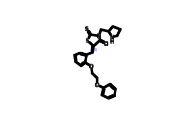 O=C1/C(=C/c2ccccc2OCCOc2ccccc2)SC(=S)N1CC1CCCN1